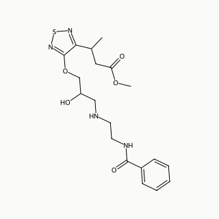 COC(=O)CC(C)c1nsnc1OCC(O)CNCCNC(=O)c1ccccc1